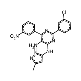 Cc1cc(Nc2nc(-c3cccc(Cl)c3)nc(-c3cccc([N+](=O)[O-])c3)c2N)[nH]n1